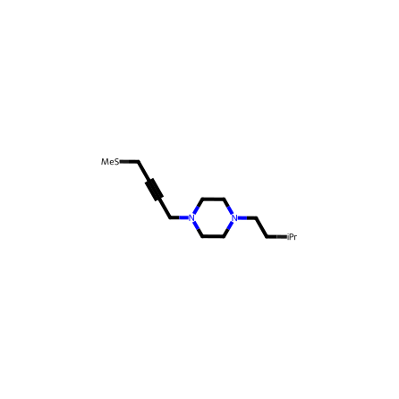 CSCC#CCN1CCN(CCC(C)C)CC1